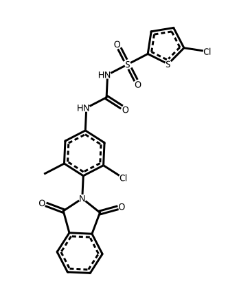 Cc1cc(NC(=O)NS(=O)(=O)c2ccc(Cl)s2)cc(Cl)c1N1C(=O)c2ccccc2C1=O